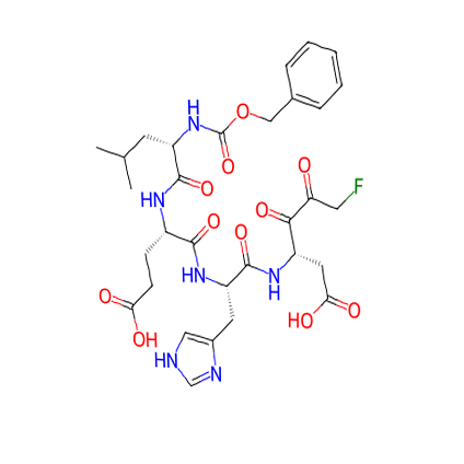 CC(C)C[C@H](NC(=O)OCc1ccccc1)C(=O)N[C@@H](CCC(=O)O)C(=O)N[C@@H](Cc1c[nH]cn1)C(=O)N[C@@H](CC(=O)O)C(=O)C(=O)CF